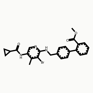 COC(=O)c1ccccc1-c1ccc(CNc2ncc(NC(=O)C3CC3)c(C)c2Br)cc1